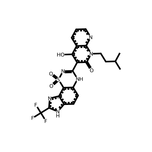 CC(C)CCn1c(=O)c(C2=NS(=O)(=O)c3c(ccc4[nH]c(C(F)(F)F)nc34)N2)c(O)c2cccnc21